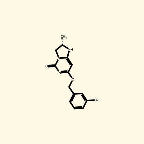 C[C@H]1Cn2c(cc(OCc3cccc(C#N)c3)nc2=O)N1